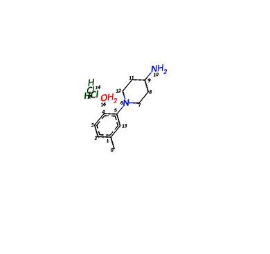 Cc1cccc(N2CCC(N)CC2)c1.Cl.Cl.O